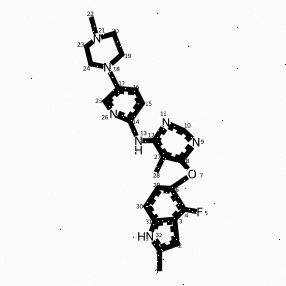 Cc1cc2c(F)c(Oc3ncnc(Nc4ccc(N5CCN(C)CC5)cn4)c3C)ccc2[nH]1